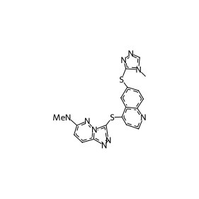 CNc1ccc2nnc(Sc3ccnc4ccc(Sc5nncn5C)cc34)n2n1